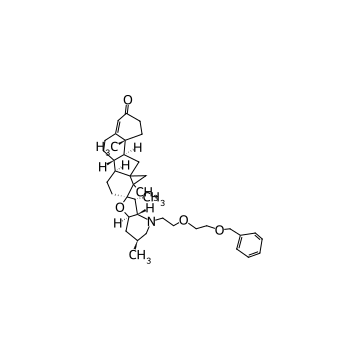 C[C@H]1C[C@H]2O[C@]3(CC[C@H]4[C@@H]5CCC6=CC(=O)CC[C@]6(C)[C@H]5CC45CC53C)[C@H](C)[C@@H]2N(CCOCCOCc2ccccc2)C1